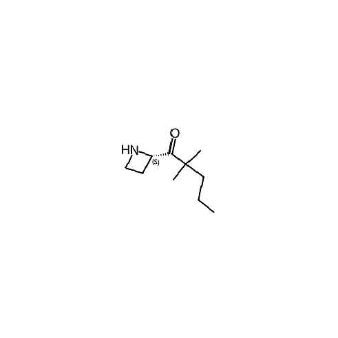 CCCC(C)(C)C(=O)[C@@H]1CCN1